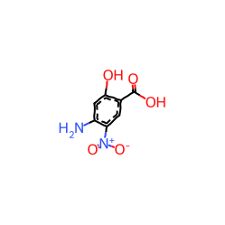 Nc1cc(O)c(C(=O)O)cc1[N+](=O)[O-]